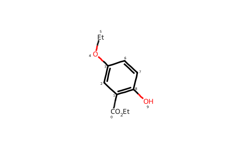 CCOC(=O)c1cc(OCC)ccc1O